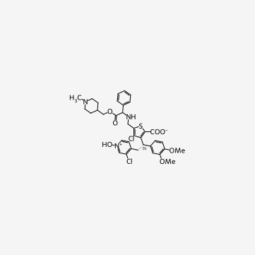 COc1ccc([C@H](Cc2c(Cl)c[n+](O)cc2Cl)c2cc(CNC(C(=O)OCC3CCN(C)CC3)c3ccccc3)sc2C(=O)[O-])cc1OC